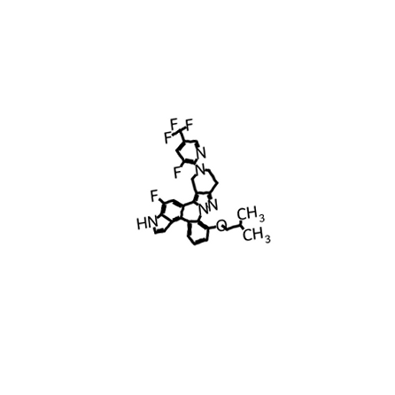 CC(C)COc1cccc2c3c4cc[nH]c4c(F)cc3c3c4c(nn3c12)CCN(c1ncc(C(F)(F)F)cc1F)C4